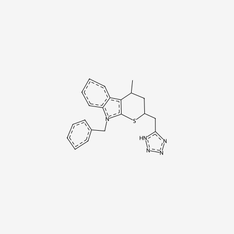 CC1CC(Cc2nnn[nH]2)Sc2c1c1ccccc1n2Cc1ccccc1